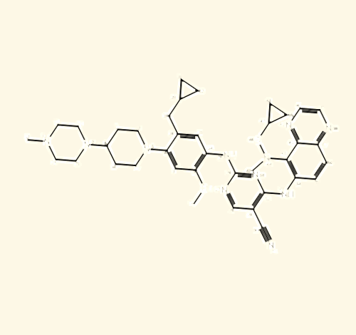 COc1cc(N2CCC(N3CCN(C)CC3)CC2)c(CC2CC2)cc1Nc1ncc(C#N)c(Nc2ccc3nccnc3c2N(C)SC2CC2)n1